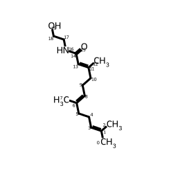 CC(C)=CCCC(C)=CCCC(C)=CC(=O)NCCO